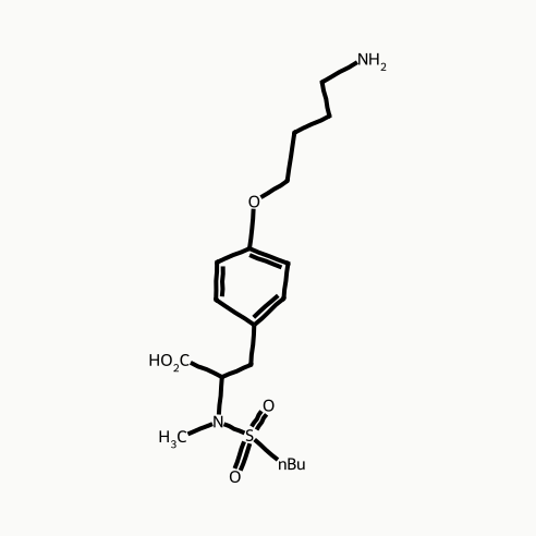 CCCCS(=O)(=O)N(C)C(Cc1ccc(OCCCCN)cc1)C(=O)O